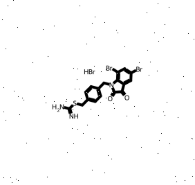 Br.N=C(N)SCc1ccc(CN2C(=O)C(=O)c3cc(Br)cc(Br)c32)cc1